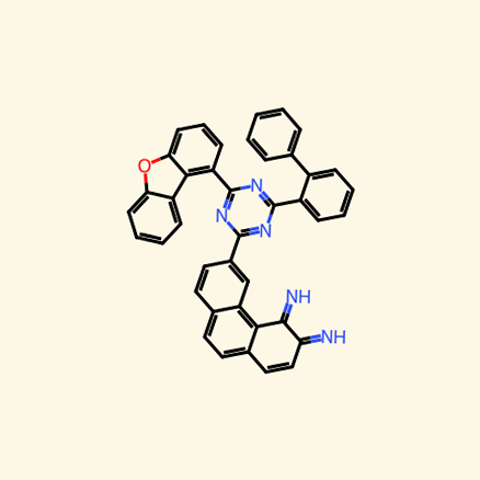 N=C1C=Cc2ccc3ccc(-c4nc(-c5ccccc5-c5ccccc5)nc(-c5cccc6oc7ccccc7c56)n4)cc3c2C1=N